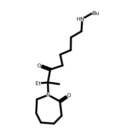 CCC(C)NCCCCCC(=O)C(C)(CC)N1CCCCCC1=O